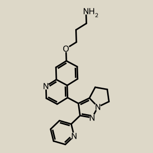 NCCCOc1ccc2c(-c3c(-c4ccccn4)nn4c3CCC4)ccnc2c1